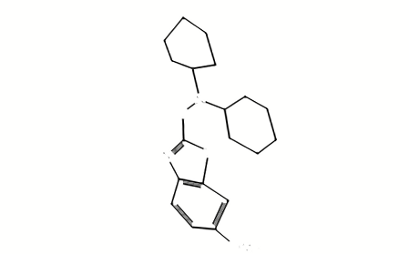 COc1ccc2nc(SN(C3CCCCC3)C3CCCCC3)sc2c1